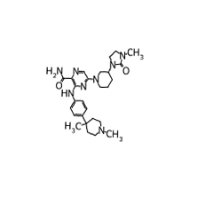 CN1CCC(C)(c2ccc(Nc3nc(N4CCC[C@H](N5CCN(C)C5=O)C4)cnc3C(N)=O)cc2)CC1